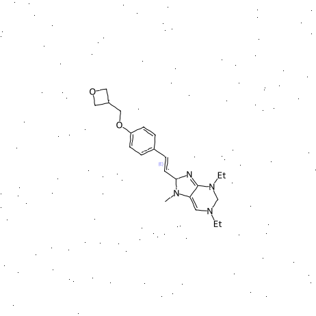 CCN1C=C2C(=NC(/C=C/c3ccc(OCC4COC4)cc3)N2C)N(CC)C1